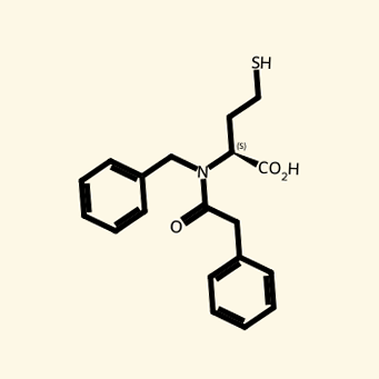 O=C(O)[C@H](CCS)N(Cc1ccccc1)C(=O)Cc1ccccc1